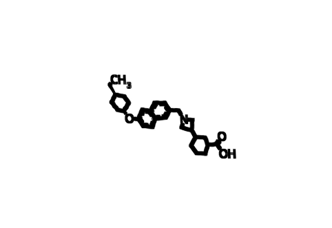 CC[C@H]1CC[C@@H](Oc2ccc3cc(CN4CC(C5CCCC(C(=O)O)C5)C4)ccc3c2)CC1